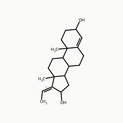 C/C=C1\C(O)CC2C3CCC4=CC(O)CCC4(C)C3CCC12C